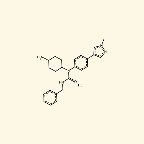 Cl.Cn1cc(-c2ccc(N(C(=O)NCc3ccccc3)C3CCC(N)CC3)cc2)cn1